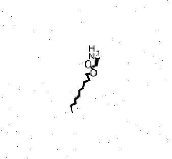 CCCCCCCCCCOC(=O)C=C(C)N